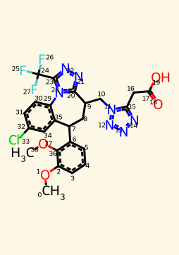 COc1cccc(C2CC(Cn3nnnc3CC(=O)O)c3nnc(C(F)(F)F)n3-c3ccc(Cl)cc32)c1OC